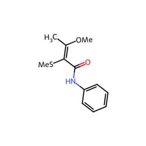 CO/C(C)=C(/SC)C(=O)Nc1ccccc1